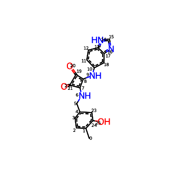 Cc1ccc(CNc2c(Nc3ccc4[nH]cnc4c3)c(=O)c2=O)cc1O